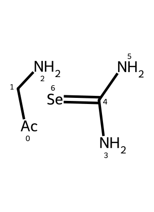 CC(=O)CN.NC(N)=[Se]